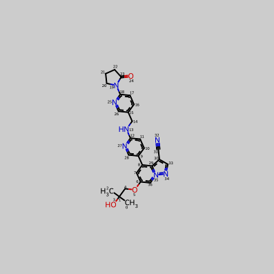 CC(C)(O)COc1cc(-c2ccc(NCc3ccc(N4CCCC4=O)nc3)nc2)c2c(C#N)cnn2c1